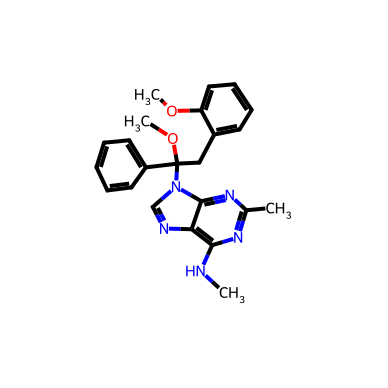 CNc1nc(C)nc2c1ncn2C(Cc1ccccc1OC)(OC)c1ccccc1